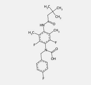 Cc1c(F)c(N(Cc2ccc(F)cc2)C(=O)O)c(F)c(C)c1NC(=O)CC(C)(C)C